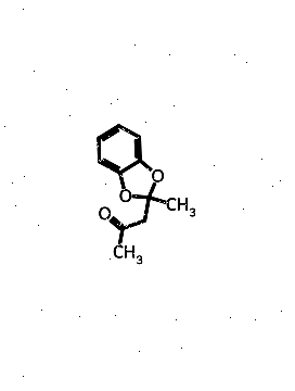 CC(=O)CC1(C)Oc2ccccc2O1